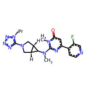 CC(C)n1nnnc1N1C[C@@H]2C(N(C)c3nc(-c4ccncc4F)cc(=O)n3C)[C@@H]2C1